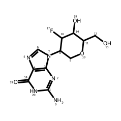 Nc1nc2c(ncn2C2COC(CO)C(O)C2F)c(=O)[nH]1